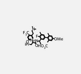 COc1cc(C)c(-c2cc(C)c(F)c(C(CC(=O)O)NC(=O)C(CC(C)C)n3cc(CCN(C)C)c(C(F)(F)F)cc3=O)c2)c(C)c1